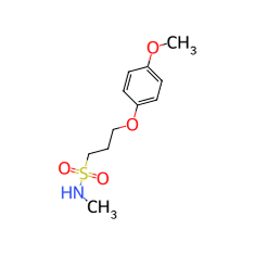 CNS(=O)(=O)CCCOc1ccc(OC)cc1